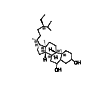 CC[C@H](CC[C@@H](C)[C@H]1CC[C@H]2[C@@H]3CC(O)C4CC(O)CC[C@]4(C)[C@H]3CC[C@]12C)C(C)C